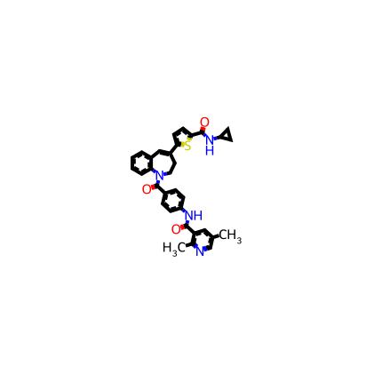 Cc1cnc(C)c(C(=O)Nc2ccc(C(=O)N3CCC(c4ccc(C(=O)NC5CC5)s4)=Cc4ccccc43)cc2)c1